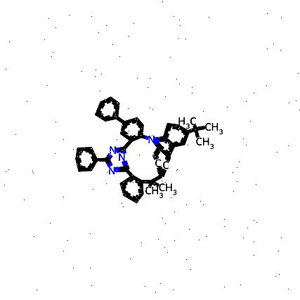 CC(C)(C)c1ccc2c(c1)c1cc3ccc1n2-c1ccc(-c2ccccc2)cc1-c1nc(-c2ccccc2)nc(n1)-c1ccccc1C3(C)C